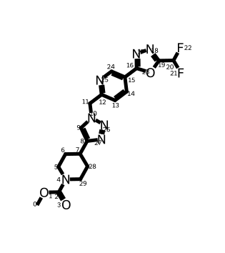 COC(=O)N1CCC(c2cn(Cc3ccc(-c4nnc(C(F)F)o4)cn3)nn2)CC1